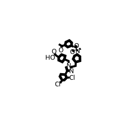 CC(=O)c1cccc(S(=O)(=O)N(C)c2ccc(Cc3nc(-c4ccc(Cl)cc4Cl)cn3Cc3ccc(C(=O)O)cc3)cc2)c1